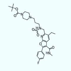 CCc1cc2c(C(=O)NC)c(-c3ccc(F)cc3)oc2nc1CN(CCCN1CCN(C(=O)OC(C)(C)C)CC1)[SH](=O)=O